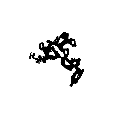 Cc1cnn(-c2cc(C)nc3c(OCc4c(Cl)ccnc4C(C)n4cccc(N)c4=O)cccc23)c1